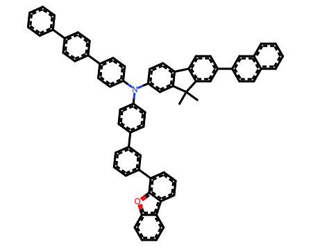 CC1(C)c2cc(-c3ccc4ccccc4c3)ccc2-c2ccc(N(c3ccc(-c4ccc(-c5ccccc5)cc4)cc3)c3ccc(-c4cccc(-c5cccc6c5oc5ccccc56)c4)cc3)cc21